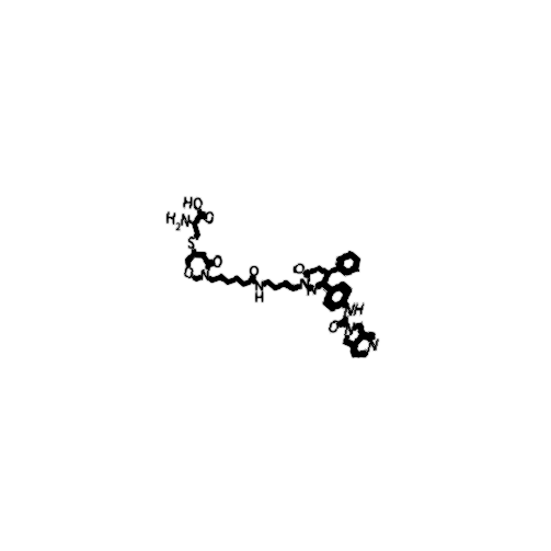 N[C@@H](CSC1COCN(CCCCCC(=O)NCCCCN2N=C(c3ccc(NC(=O)N4Cc5ccncc5C4)cc3)C(c3ccccc3)CC2=O)C(=O)C1)C(=O)O